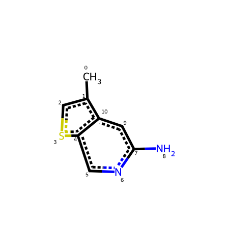 Cc1csc2cnc(N)cc12